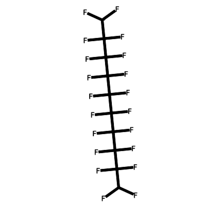 F[C](F)C(F)(F)C(F)(F)C(F)(F)C(F)(F)C(F)(F)C(F)(F)C(F)(F)C(F)(F)C(F)F